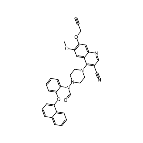 C#CCOc1cc2ncc(C#N)c(N3CCN(N(C=O)c4ccccc4Oc4cccc5ccccc45)CC3)c2cc1OC